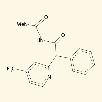 CNC(=O)NC(=O)C(c1ccccc1)c1cc(C(F)(F)F)ccn1